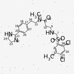 Cc1cc(S(=O)(=O)CNCCC(=O)N(C)CCc2ccc(C3=NCCN3)cc2)c(Cl)cc1Cl